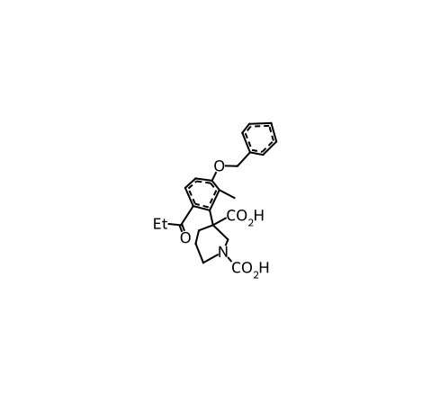 CCC(=O)c1ccc(OCc2ccccc2)c(C)c1C1(C(=O)O)CCCN(C(=O)O)C1